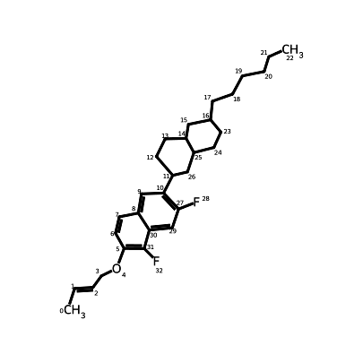 C/C=C/COc1ccc2cc(C3CCC4CC(CCCCCC)CCC4C3)c(F)cc2c1F